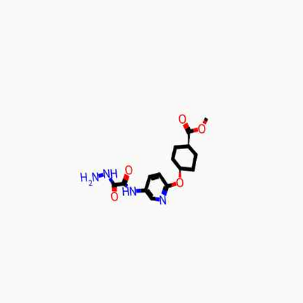 COC(=O)[C@H]1CC[C@@H](Oc2ccc(NC(=O)C(=O)NN)cn2)CC1